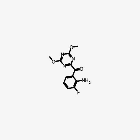 COc1nc(OC)nc(C(=O)c2cccc(F)c2N)n1